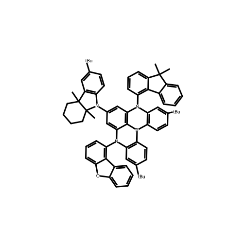 CC(C)(C)c1ccc2c(c1)N(c1cccc3c1-c1ccccc1C3(C)C)c1cc(N3c4ccc(C(C)(C)C)cc4C4(C)CCCCC34C)cc3c1B2c1ccc(C(C)(C)C)cc1N3c1cccc2oc3ccccc3c12